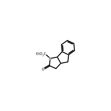 CCOC(=O)N1C(=O)CC2Cc3ccccc3C21